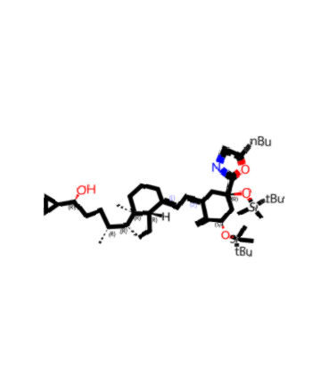 C=C1/C(=C\C=C2/CCC[C@]3(C)[C@@H]([C@H](C)CC[C@@H](O)C4CC4)CC[C@@H]23)C[C@](O[Si](C)(C)C(C)(C)C)(c2ncc(CCCC)o2)C[C@@H]1O[Si](C)(C)C(C)(C)C